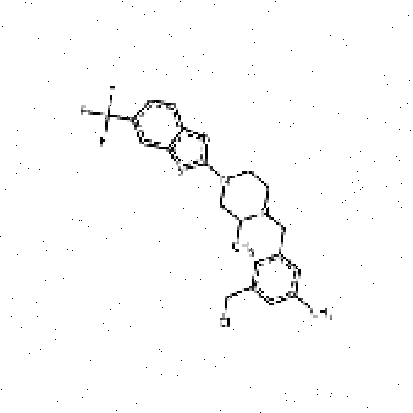 Cc1cc(CCl)cc(CN2CCN(c3nc4ccc(C(F)(F)F)cc4s3)CC2C)c1